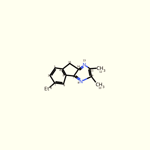 CCc1ccc2c(c1)-c1nc(C)c(C)nc1C2